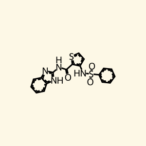 O=C(Nc1nc2ccccc2[nH]1)c1sccc1NS(=O)(=O)c1ccccc1